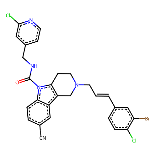 N#Cc1ccc2c(c1)c1c(n2C(=O)NCc2ccnc(Cl)c2)CCN(CC=Cc2ccc(Cl)c(Br)c2)C1